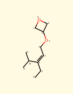 CCC(=CCOC1COC1)C(C)C